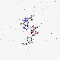 CC[C@H]1O[C@@H](n2cnc3c(=O)[nH]c(NC(=O)C(C)C)nc32)[C@H](OCc2ccc(OC)cc2)[C@@H]1O